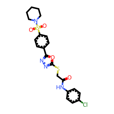 O=C(CSc1nnc(-c2ccc(S(=O)(=O)N3CCCCC3)cc2)o1)Nc1ccc(Cl)cc1